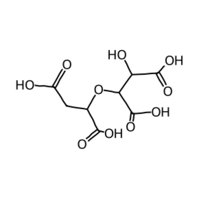 O=C(O)CC(OC(C(=O)O)C(O)C(=O)O)C(=O)O